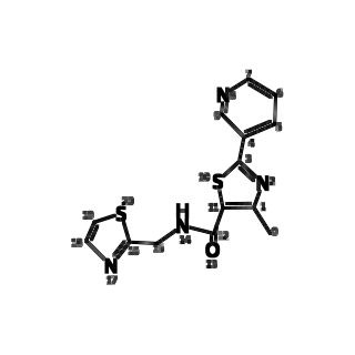 Cc1nc(-c2cccnc2)sc1C(=O)NCc1nccs1